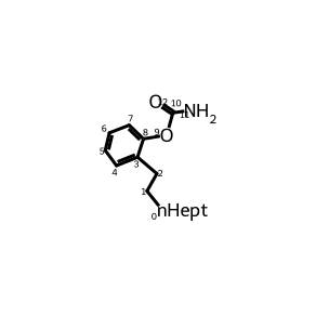 CCCCCCCCCc1ccccc1OC(N)=O